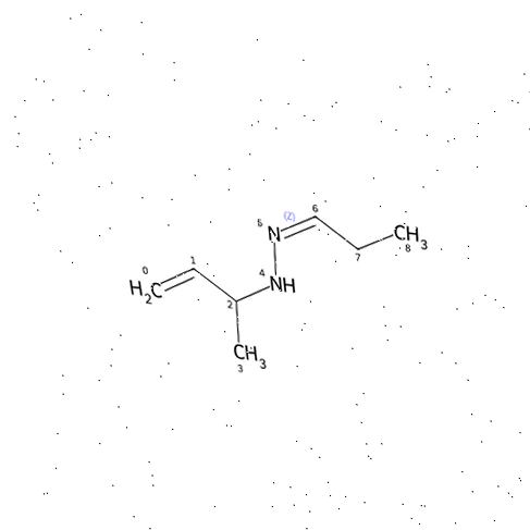 C=CC(C)N/N=C\CC